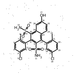 Cc1ccc(Cl)cc1-c1c(S(N)(=O)=O)c(-c2cc(Cl)ccc2C)c2ccc(O)cc2c1S(N)(=O)=O